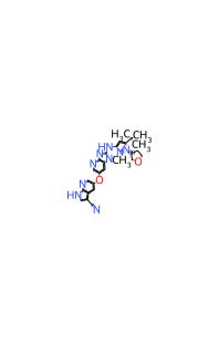 Cn1c(Nc2cc(C(C)(C)C)n([C@@H]3CCOC3)n2)nc2ncc(Oc3cnc4[nH]cc(C#N)c4c3)cc21